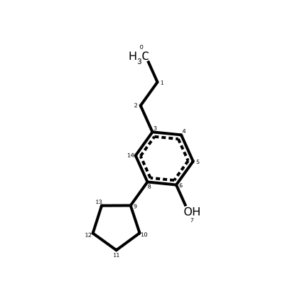 CCCc1ccc(O)c(C2CCCC2)c1